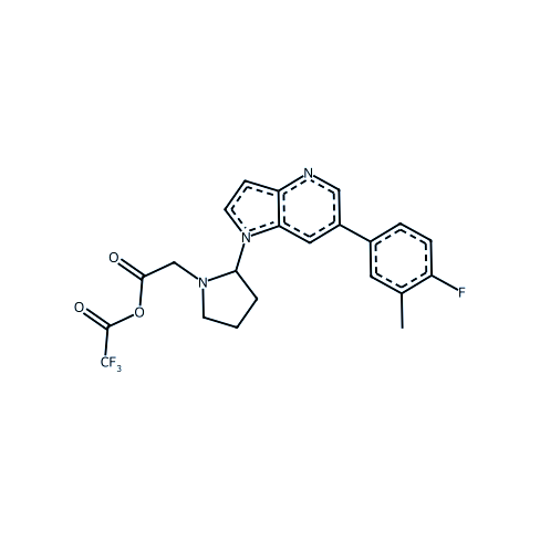 Cc1cc(-c2cnc3ccn(C4CCCN4CC(=O)OC(=O)C(F)(F)F)c3c2)ccc1F